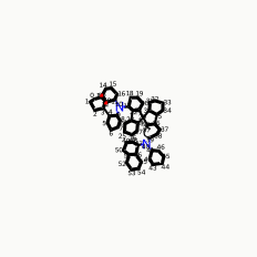 c1ccc(-c2ccccc2N(c2ccccc2)c2cccc3c2-c2ccccc2C32c3ccccc3-c3ccc(N(c4ccccc4)c4cccc5ccccc45)cc32)cc1